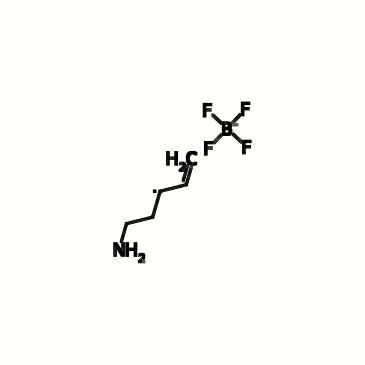 C=C[CH]CCN.F[B-](F)(F)F